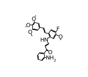 COc1cc(NC=CC(=O)c2ccccc2N)c(C=Cc2cc(OC)c(OC)c(OC)c2)cc1F